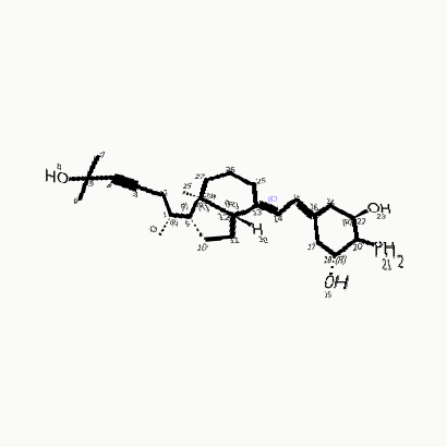 C[C@H](CC#CC(C)(C)O)[C@H]1CC[C@H]2/C(=C/C=C3C[C@@H](O)C(P)[C@H](O)C3)CCC[C@]12C